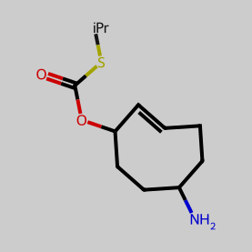 CC(C)SC(=O)OC1/C=C/CCC(N)CC1